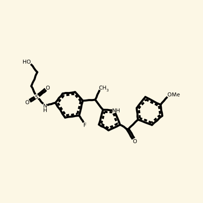 COc1ccc(C(=O)c2ccc(C(C)c3ccc(NS(=O)(=O)CCO)cc3F)[nH]2)cc1